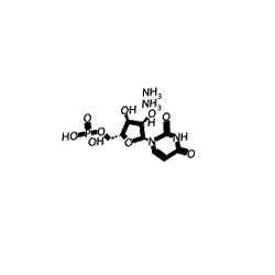 N.N.O=c1ccn([C@@H]2O[C@H](COP(=O)(O)O)[C@@H](O)[C@H]2O)c(=O)[nH]1